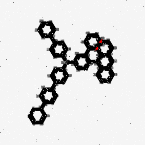 C1=CCC(c2ccc(-c3ccc(N(c4ccc(-c5ccccc5)cc4)c4ccc(-c5c6ccccc6cc6ccccc56)c(-c5ccccc5)c4)cc3)cc2)C=C1